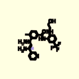 Cc1ccc(C(=O)Nc2cc(C(F)(F)F)ccc2NCCO)cc1N(N)/C=C(\N)c1cccnc1